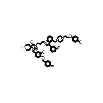 O=C(NCCCn1cc(-c2cccc(F)c2)c2c(CN3CCN(CCOc4ccc(Cl)cc4)CC3)cccc21)C1(NCc2ccc(OCc3ccc(F)cc3)c(Cl)c2)CCNCC1